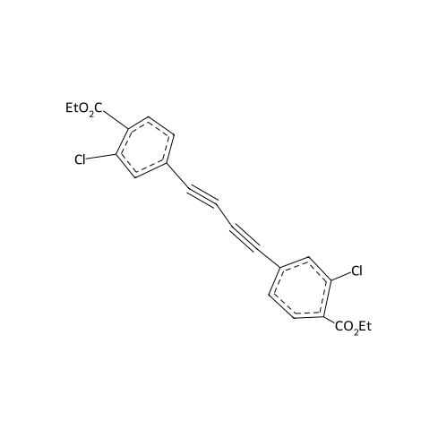 CCOC(=O)c1ccc(C#CC#Cc2ccc(C(=O)OCC)c(Cl)c2)cc1Cl